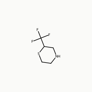 FC(F)(F)C1CNCCS1